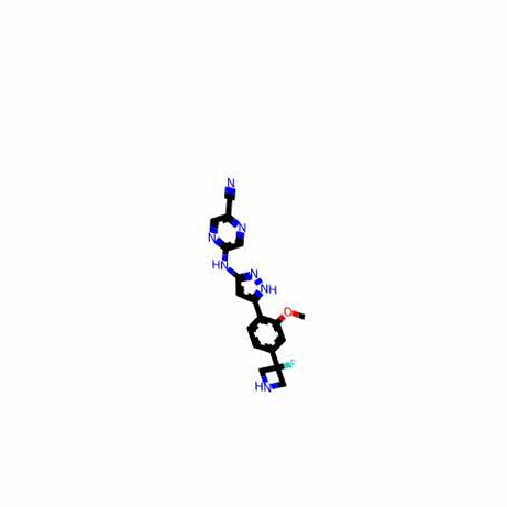 COc1cc(C2(F)CNC2)ccc1-c1cc(Nc2cnc(C#N)cn2)n[nH]1